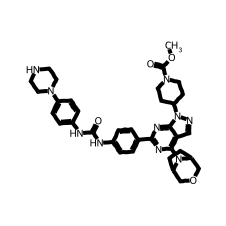 COC(=O)N1CCC(n2ncc3c(N4C5CCC4COC5)nc(-c4ccc(NC(=O)Nc5ccc(N6CCNCC6)cc5)cc4)nc32)CC1